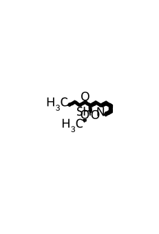 CCCC(S)C(=O)/C(=C/c1ccccn1)C(=O)OCC